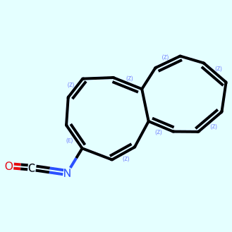 O=C=NC1=C\C=C/C=C2/C=C\C=C/C=C\C=C2\C=C/1